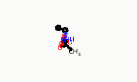 CCCCc1cc(=O)oc2nc(O/N=C3/CCCC(c4ccccc4)C3)[nH]c(=O)c12